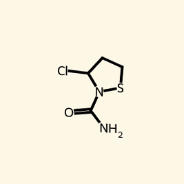 NC(=O)N1SCCC1Cl